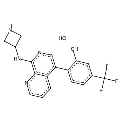 Cl.Oc1cc(C(F)(F)F)ccc1-c1nnc(NC2CNC2)c2ncccc12